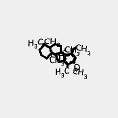 CCc1cc(OC)c(C)c2c1[C@]1(C)CCC3C(C)(C)CCC[C@]3(C)[C@H]1C2